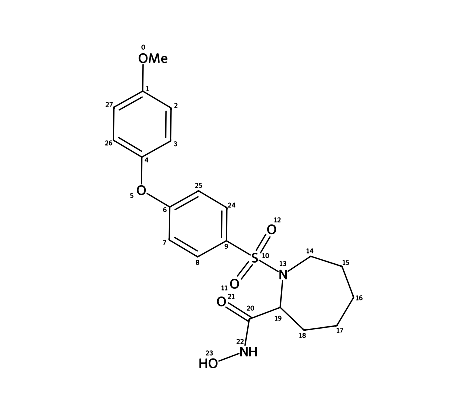 COc1ccc(Oc2ccc(S(=O)(=O)N3CCCCCC3C(=O)NO)cc2)cc1